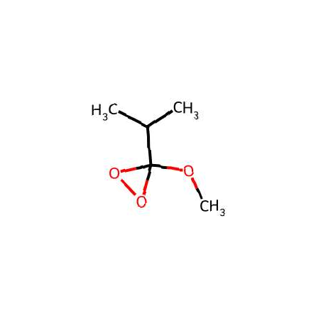 COC1(C(C)C)OO1